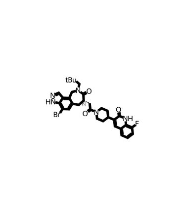 CC(C)(C)CN1Cc2c(cc(Br)c3[nH]ncc23)C[C@@H](CC(=O)N2CCC(c3cc4cccc(F)c4[nH]c3=O)CC2)C1=O